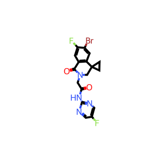 O=C(CN1CC2(CC2)c2cc(Br)c(F)cc2C1=O)Nc1ncc(F)cn1